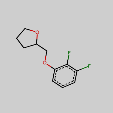 Fc1cc[c]c(OCC2CCCO2)c1F